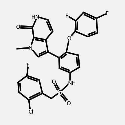 Cn1cc(-c2cc(NS(=O)(=O)Cc3cc(F)ccc3Cl)ccc2Oc2ccc(F)cc2F)c2cc[nH]c(=O)c21